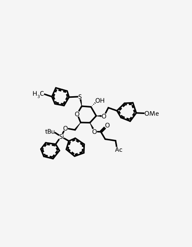 COc1ccc(CO[C@@H]2[C@@H](O)[C@H](Sc3ccc(C)cc3)O[C@H](CO[Si](c3ccccc3)(c3ccccc3)C(C)(C)C)[C@@H]2OC(=O)CCC(C)=O)cc1